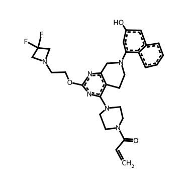 C=CC(=O)N1CCN(c2nc(OCCN3CC(F)(F)C3)nc3c2CCN(c2cc(O)cc4ccccc24)C3)CC1